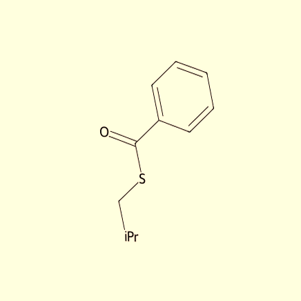 CC(C)CSC(=O)c1ccccc1